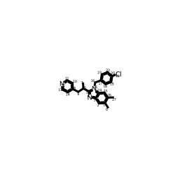 Cc1cc2nc(C(C)Cc3ccncc3)n(Cc3ccc(Cl)cc3)c2cc1C